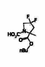 CCCCOC(=O)C1(C)CC(F)(F)CN1C(=O)O